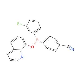 N#Cc1ccc(B(Oc2cccc3cccnc23)c2cccc(F)c2)cc1